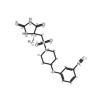 [C-]#[N+]c1cccc(OC2CCN(S(=O)(=O)C[C@@]3(C)NC(=O)NC3=O)CC2)c1